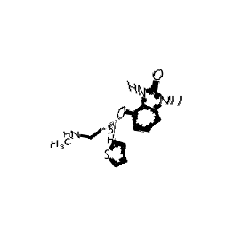 CNCC[Si@H](Oc1cccc2[nH]c(=O)[nH]c12)c1cccs1